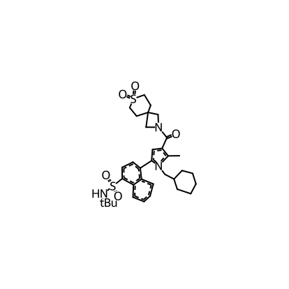 Cc1c(C(=O)N2CC3(CCS(=O)(=O)CC3)C2)cc(-c2ccc(S(=O)(=O)NC(C)(C)C)c3ccccc23)n1CC1CCCCC1